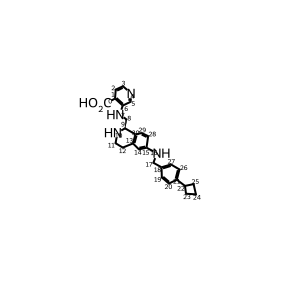 O=C(O)c1ccncc1NC[C@@H]1NCCc2cc(NCc3ccc(C4CCC4)cc3)ccc21